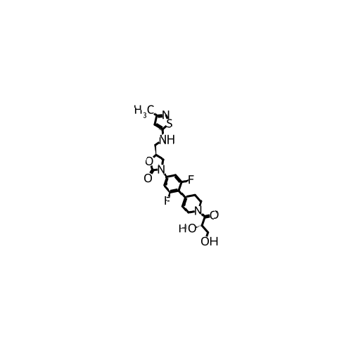 Cc1cc(NC[C@H]2CN(c3cc(F)c(C4=CCN(C(=O)[C@@H](O)CO)CC4)c(F)c3)C(=O)O2)sn1